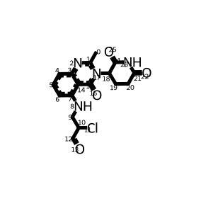 Cc1nc2cccc(NCC(Cl)C=O)c2c(=O)n1C1CCC(=O)NC1=O